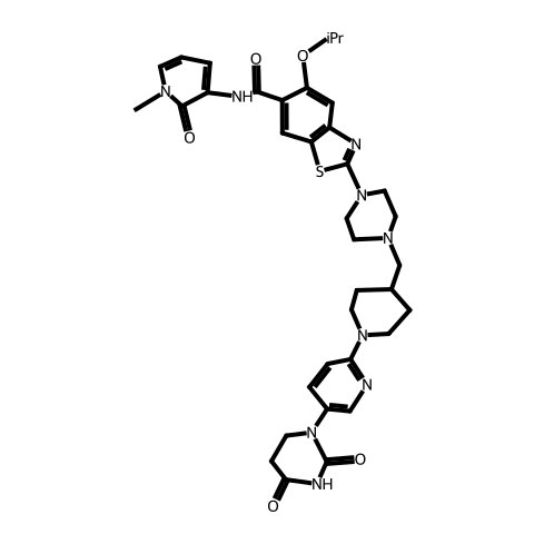 CC(C)Oc1cc2nc(N3CCN(CC4CCN(c5ccc(N6CCC(=O)NC6=O)cn5)CC4)CC3)sc2cc1C(=O)Nc1cccn(C)c1=O